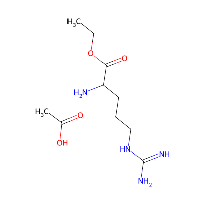 CC(=O)O.CCOC(=O)C(N)CCCNC(=N)N